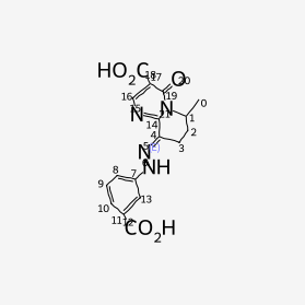 CC1CC/C(=N\Nc2cccc(C(=O)O)c2)c2ncc(C(=O)O)c(=O)n21